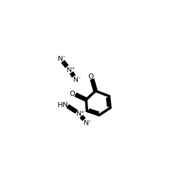 O=C1C=CC=CC1=O.[N-]=[N+]=N.[N-]=[N+]=[N-]